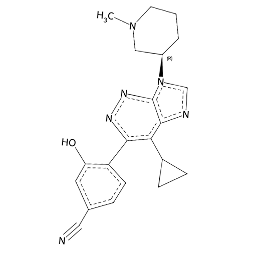 CN1CCC[C@@H](n2cnc3c(C4CC4)c(-c4ccc(C#N)cc4O)nnc32)C1